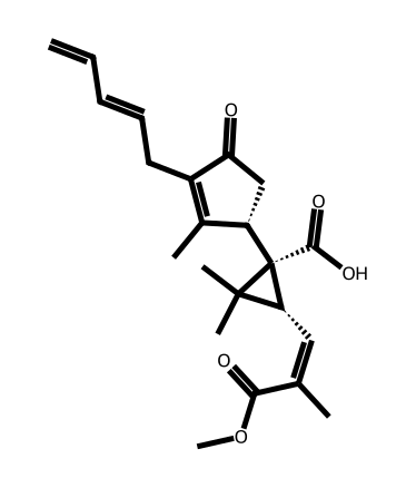 C=CC=CCC1=C(C)[C@@H]([C@@]2(C(=O)O)[C@H](C=C(C)C(=O)OC)C2(C)C)CC1=O